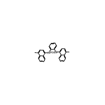 Cc1ccc(Nc2ccccc2Nc2ccc(C)c3ccccc23)c2ccccc12